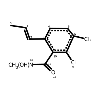 CC=Cc1ccc(Cl)c(Cl)c1C(=O)N(C)O